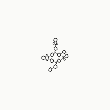 c1ccc(-c2cccc(N(c3ccc(-c4nc5ccccc5o4)cc3)c3ccc(-c4nc5ccccc5nc4-c4ccc(N(c5ccc(-c6nc7ccccc7o6)cc5)c5cccc(-c6ccccc6)c5)cc4)cc3)c2)cc1